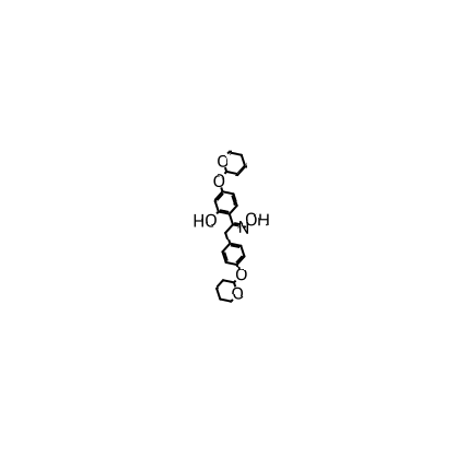 ON=C(Cc1ccc(OC2CCCCO2)cc1)c1ccc(OC2CCCCO2)cc1O